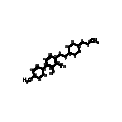 CCCC1CCC(CCc2ccc(C3C=CC(C)CC3)c(F)c2F)CC1